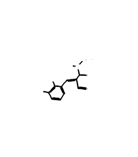 C=C/C(=C\c1cccc(F)c1C)C(C)N(C)CCCCC